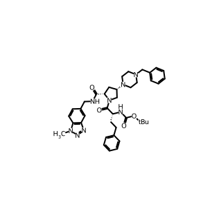 Cn1nnc2cc(CNC(=O)[C@@H]3C[C@H](N4CCN(Cc5ccccc5)CC4)CN3C(=O)[C@@H](CCc3ccccc3)NC(=O)OC(C)(C)C)ccc21